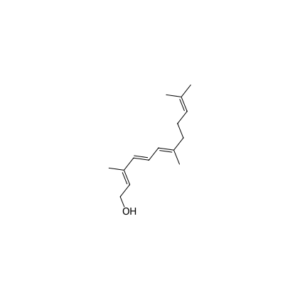 CC(C)=CCCC(C)=CC=CC(C)=CCO